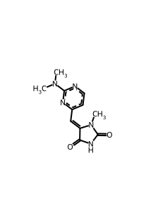 CN1C(=O)NC(=O)/C1=C/c1ccnc(N(C)C)n1